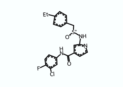 CCc1ccc(C[S+]([O-])Nc2cc(C(=O)Nc3ccc(F)c(Cl)c3)ccn2)cc1